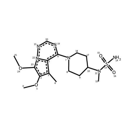 COc1c(C)c2c(N3CCC(N(C)S(N)(=O)=O)CC3)ncnn2c1OC